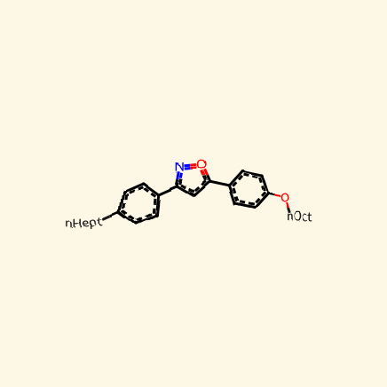 CCCCCCCCOc1ccc(-c2cc(-c3ccc(CCCCCCC)cc3)no2)cc1